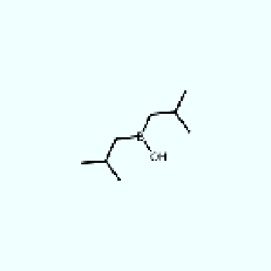 CC(C)CB(O)CC(C)C